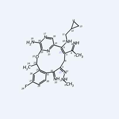 CN/N=C1/C/C(C(C)=N)=C(/NCC2CC2)c2cnc(N)c(n2)OC(C)c2cc(F)ccc2C1=N